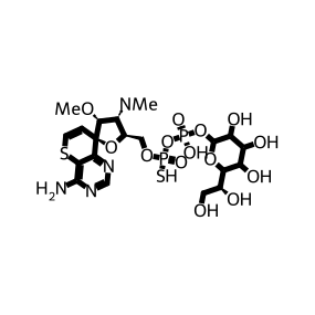 CN[C@H]1[C@@H](OC)[C@]2(C=CSc3c(N)ncnc32)O[C@@H]1COP(=O)(S)OP(=O)(O)OC1OC([C@@H](O)CO)C(O)C(O)C1O